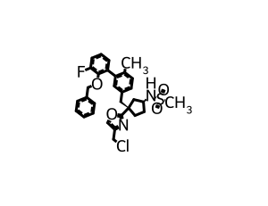 Cc1ccc(C[C@]2(c3nc(CCl)co3)CC[C@H](NS(C)(=O)=O)C2)cc1-c1cccc(F)c1OCc1ccccc1